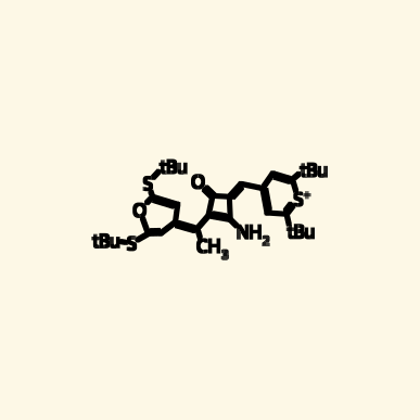 CC(=C1C=C(SC(C)(C)C)OC(SC(C)(C)C)=C1)C1=C(N)C(=Cc2cc(C(C)(C)C)[s+]c(C(C)(C)C)c2)C1=O